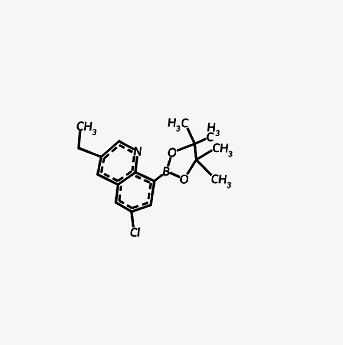 CCc1cnc2c(B3OC(C)(C)C(C)(C)O3)cc(Cl)cc2c1